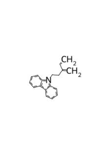 C=CC(=C)CCn1c2ccccc2c2ccccc21